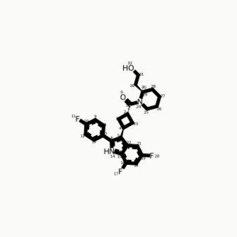 O=C([C@H]1C[C@H](c2c(-c3ccc(F)cc3)[nH]c3c(F)cc(F)cc32)C1)N1CCCC[C@@H]1CCO